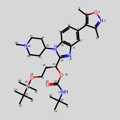 Cc1noc(C)c1-c1ccc2c(c1)nc([C@H](CCO[Si](C)(C)C(C)(C)C)OC(=O)NC(C)(C)C)n2C1CCN(C)CC1